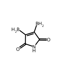 BC1=C(B)C(=O)NC1=O